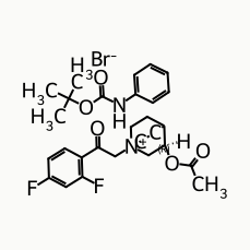 CC(=O)O[C@H]1C[N+]2(CC(=O)c3ccc(F)cc3F)CCC1CC2.CC(C)(C)OC(=O)Nc1ccccc1.[Br-]